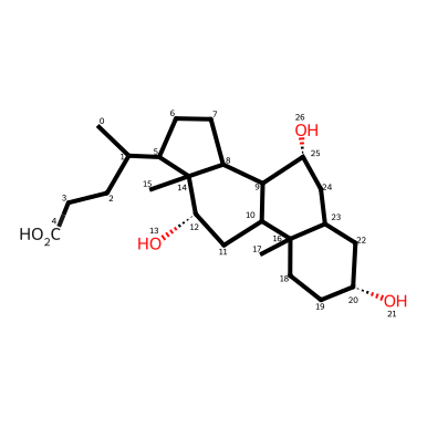 CC(CCC(=O)O)C1CCC2C3C(C[C@H](O)C12C)C1(C)CC[C@@H](O)CC1C[C@H]3O